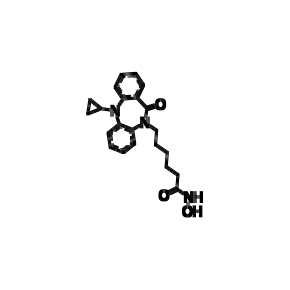 O=C(CCCCCN1C(=O)c2ccccc2N(C2CC2)c2ccccc21)NO